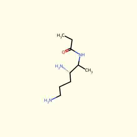 CCC(=O)NC(C)[C@@H](N)CCCN